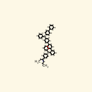 C=C/C=C(\C=C)c1ccc(N(c2ccccc2)c2ccccc2-c2ccc(-c3ccc(N(c4ccccc4)c4ccc(-c5ccccc5)cc4)cc3)cc2)cc1